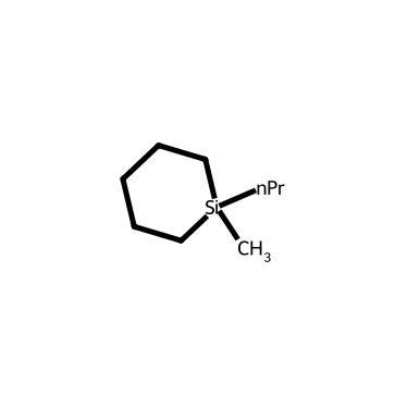 CCC[Si]1(C)CCCCC1